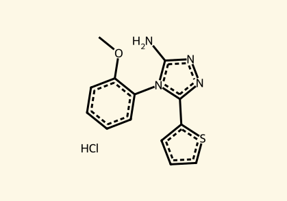 COc1ccccc1-n1c(N)nnc1-c1cccs1.Cl